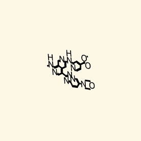 CNc1ncc(-c2nc3ccc(N4CCOCC4)cn3n2)c2cc(Nc3cc(C(=O)OC)ccn3)ncc12